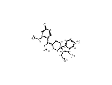 CCN(c1ccc(Cl)cc1OC)C1CCC(c2ccc(Cl)cc2)(N(CC)CC)CC1